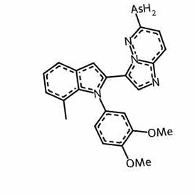 COc1ccc(-n2c(-c3cnc4ccc([AsH2])nn34)cc3cccc(C)c32)cc1OC